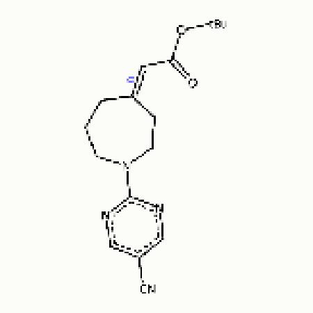 CC(C)(C)OC(=O)/C=C1/CCCN(c2ncc(C#N)cn2)CC1